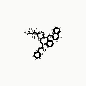 CN[C@@H](C)C(=O)N[C@H]1CN(C(=O)Cc2ccccc2)c2ccccc2N(Cc2cccc3ccccc23)C1=O